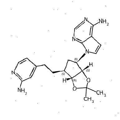 CC1(C)O[C@@H]2[C@@H](CCc3ccnc(N)c3)C[C@@H](n3ccc4c(N)ncnc43)[C@@H]2O1